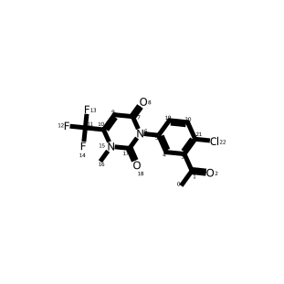 CC(=O)c1cc(-n2c(=O)cc(C(F)(F)F)n(C)c2=O)ccc1Cl